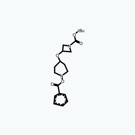 CC(C)(C)OC(=O)N1CC(OC2CCN(OC(=O)c3ccccc3)CC2)C1